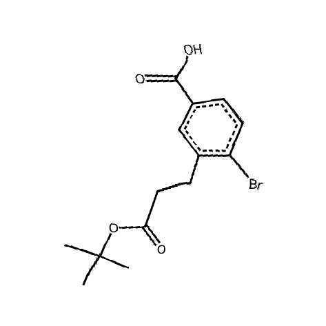 CC(C)(C)OC(=O)CCc1cc(C(=O)O)ccc1Br